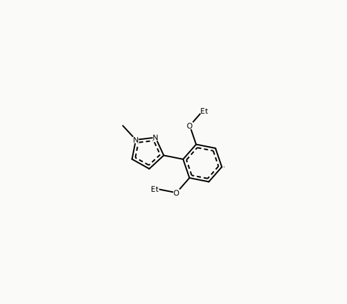 CCOc1c[c]cc(OCC)c1-c1ccn(C)n1